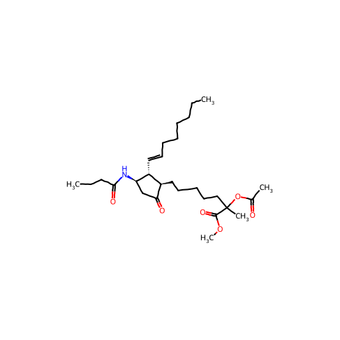 CCCCCCC=C[C@H]1[C@H](NC(=O)CCC)CC(=O)[C@@H]1CCCCCC(C)(OC(C)=O)C(=O)OC